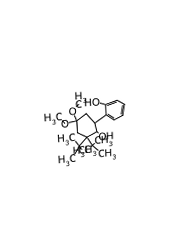 COC1(OC)CC(c2ccccc2O)C(O)C(C(C)(C)C)(C(C)(C)C)C1